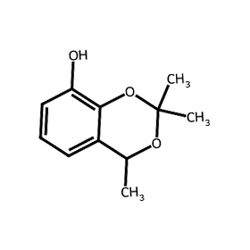 CC1OC(C)(C)Oc2c(O)cccc21